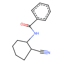 N#CC1CCCCC1NC(=O)c1ccccc1